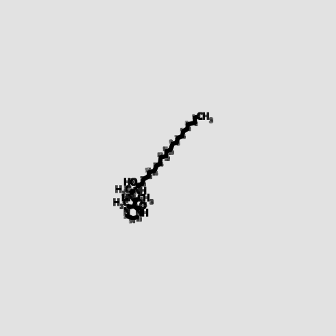 CCCCCCCCCCCCCCCCCCCCCC(O)NC(C)NC(C)C1C(=O)NCCCN=C1C